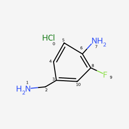 Cl.NCc1ccc(N)c(F)c1